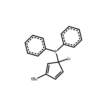 [Li][C]1(P(c2ccccc2)c2ccccc2)C=CC(C(C)(C)C)=C1